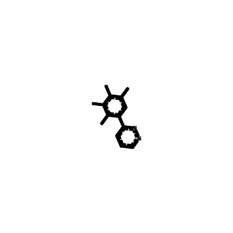 Cc1cc(-c2cccnn2)c(C)c(C)c1C